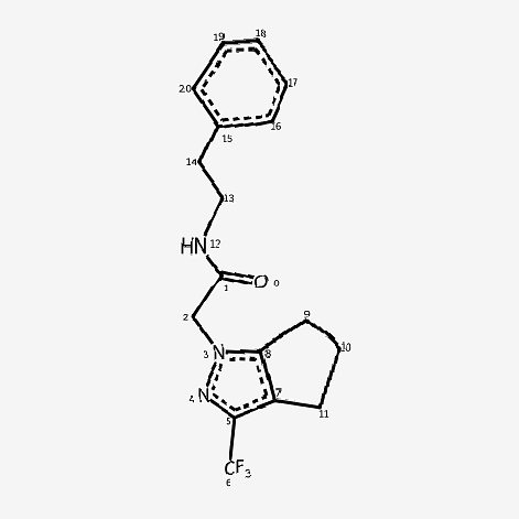 O=C(Cn1nc(C(F)(F)F)c2c1CCC2)NCCc1ccccc1